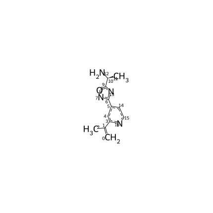 C=C(C)c1cc(-c2noc([C@H](C)N)n2)ccn1